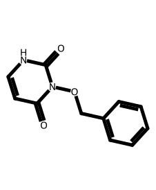 O=c1cc[nH]c(=O)n1OCc1ccccc1